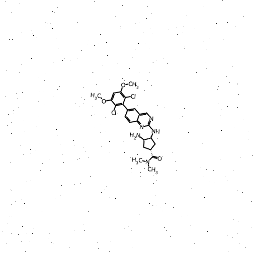 COc1cc(OC)c(Cl)c(-c2ccc3nc(NC4C[C@H](C(=O)N(C)C)CC4N)ncc3c2)c1Cl